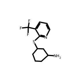 NC1CCCC(Sc2ncccc2C(F)(F)F)C1